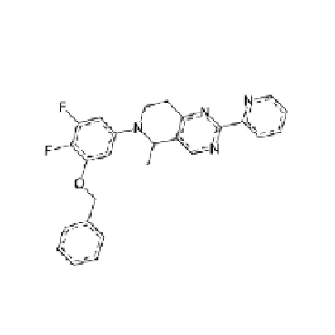 CC1c2cnc(-c3ccccn3)nc2CCN1c1cc(F)c(F)c(OCc2ccccc2)c1